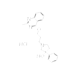 Cc1nc(OCCCN2CCC(O)(c3ccccc3)C2)c2ccccc2n1.Cl